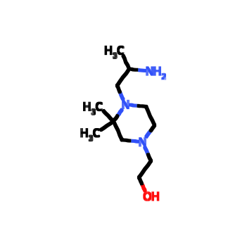 CC(N)CN1CCN(CCO)CC1(C)C